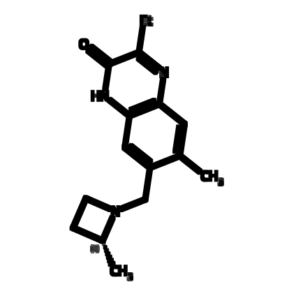 CCc1nc2cc(C)c(CN3CC[C@H]3C)cc2[nH]c1=O